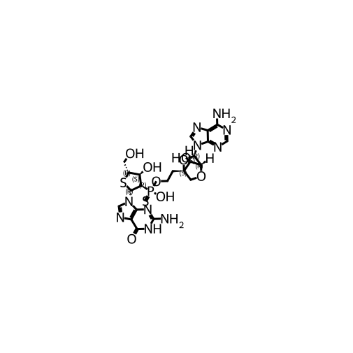 Nc1nc2c(ncn2[C@@H]2S[C@H](CO)[C@@H](O)[C@H]2P(O)(=S)OCC[C@@]23CO[C@@H]([C@H](n4cnc5c(N)ncnc54)O2)[C@@H]3O)c(=O)[nH]1